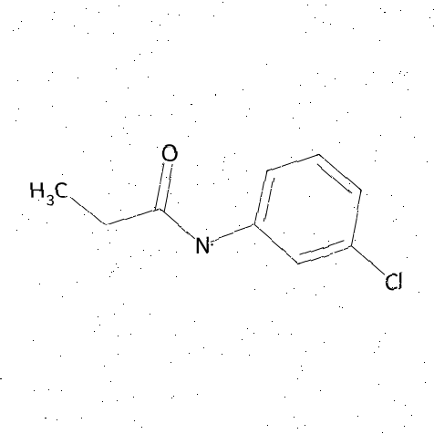 CCC(=O)[N]c1cccc(Cl)c1